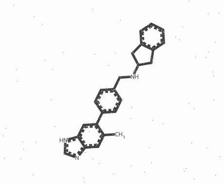 Cc1cc2nc[nH]c2cc1-c1ccc(CNC2Cc3ccccc3C2)cc1